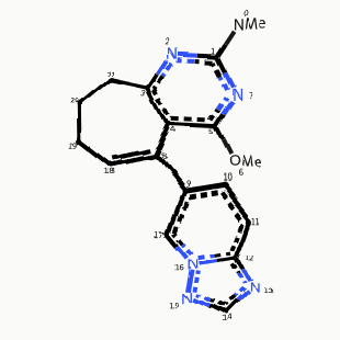 CNc1nc2c(c(OC)n1)C(c1ccc3ncnn3c1)=CCCC2